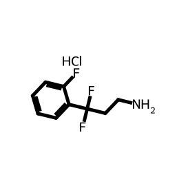 Cl.NCCC(F)(F)c1ccccc1F